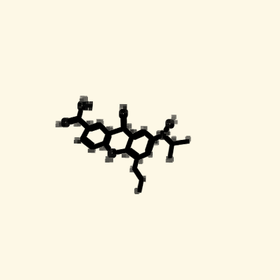 CCCc1cc([S+]([O-])C(C)C)cc2c(=O)c3cc(C(=O)O)ccc3oc12